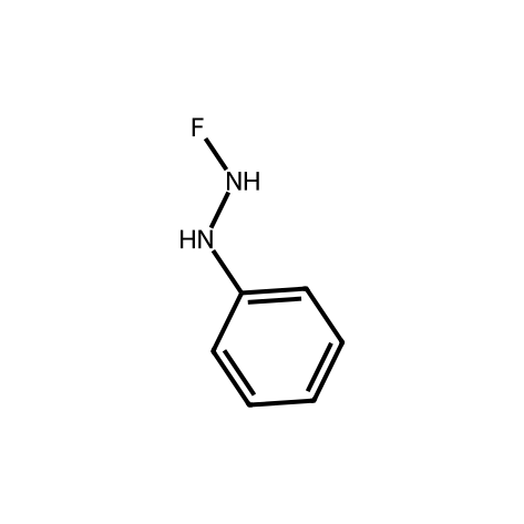 FNNc1ccccc1